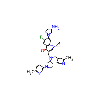 Cc1ccc(N2CCC[C@H](N(Cc3ccnc(C)c3)Cc3cn(C4CC4)c4cc(N5CC[C@H](N)C5)c(F)cc4c3=O)C2)cn1